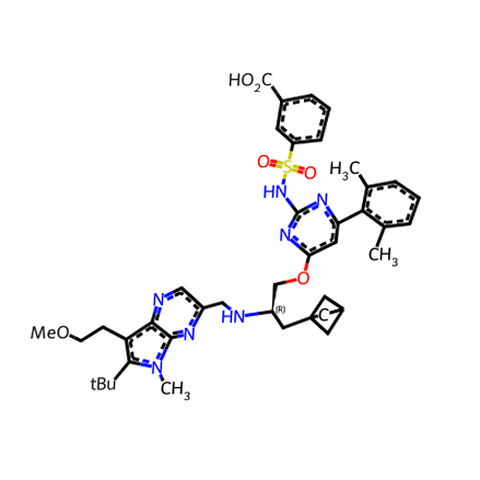 COCCc1c(C(C)(C)C)n(C)c2nc(CN[C@@H](COc3cc(-c4c(C)cccc4C)nc(NS(=O)(=O)c4cccc(C(=O)O)c4)n3)CC34CC(C3)C4)cnc12